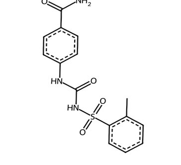 Cc1ccccc1S(=O)(=O)NC(=O)Nc1ccc(C(N)=O)cc1